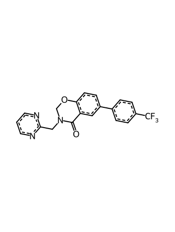 O=C1c2cc(-c3ccc(C(F)(F)F)cc3)ccc2OCN1Cc1ncccn1